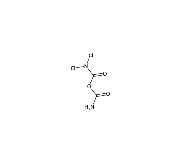 NC(=O)OC(=O)N(Cl)Cl